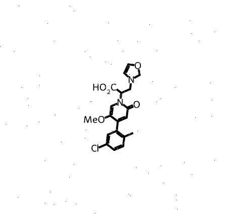 COc1cn(C(CN2C=COC2)C(=O)O)c(=O)cc1-c1cc(Cl)ccc1C